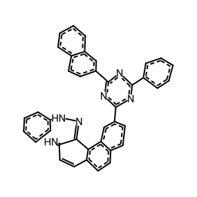 N=C1C=Cc2ccc3ccc(-c4nc(-c5ccccc5)nc(-c5ccc6ccccc6c5)n4)cc3c2/C1=N/Nc1ccccc1